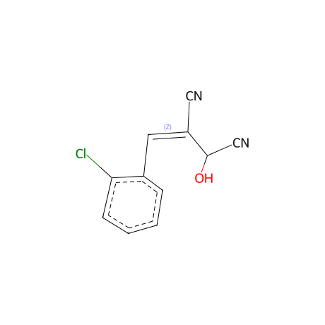 N#C/C(=C/c1ccccc1Cl)C(O)C#N